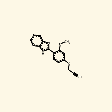 C#CCOc1ccc(-c2nc3cnccc3[nH]2)c(OC)c1